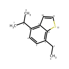 CCc1ccc(C(C)C)c2ccsc12